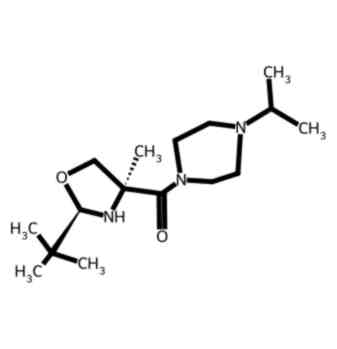 CC(C)N1CCN(C(=O)[C@]2(C)CO[C@H](C(C)(C)C)N2)CC1